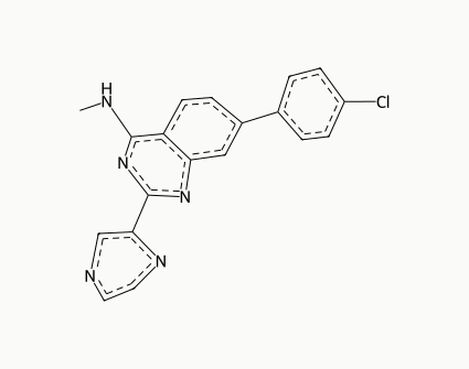 CNc1nc(-c2cnccn2)nc2cc(-c3ccc(Cl)cc3)ccc12